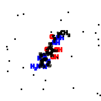 CCNC(=O)NC[C@H]1O[C@@H](n2cnc3c(N)ncnc32)C(O)C1O